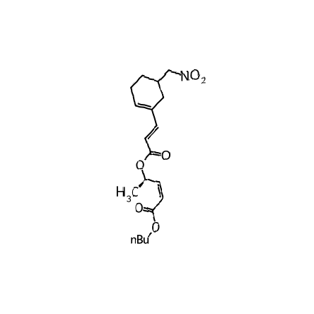 CCCCOC(=O)/C=C\[C@@H](C)OC(=O)/C=C/C1=CCCC(C[N+](=O)[O-])C1